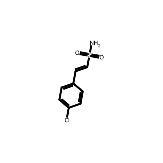 NS(=O)(=O)C=Cc1ccc(Cl)cc1